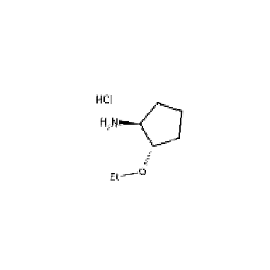 CCO[C@H]1CCC[C@@H]1N.Cl